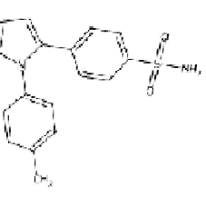 Cc1ccc(-n2cccc2-c2ccc(S(N)(=O)=O)cc2)cc1